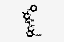 COc1ccnc(C[S+]([O-])c2nc3cc(C)c(OC4CCCCC4)nc3[nH]2)c1C